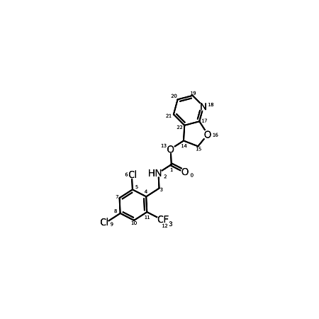 O=C(NCc1c(Cl)cc(Cl)cc1C(F)(F)F)OC1COc2ncccc21